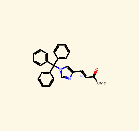 COC(=O)/C=C/c1cn(C(c2ccccc2)(c2ccccc2)c2ccccc2)cn1